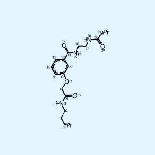 CC(C)CCNC(=O)COc1cccc(C(=O)NCCNC(=O)C(C)C)c1